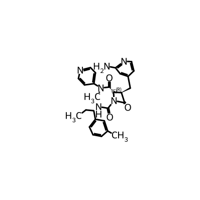 CCC(NC(=O)N1C(=O)[C@H](Cc2ccnc(N)c2)[C@H]1C(=O)N(C)c1ccncc1)c1cccc(C)c1